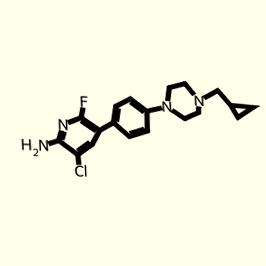 Nc1nc(F)c(-c2ccc(N3CCN(CC4CC4)CC3)cc2)cc1Cl